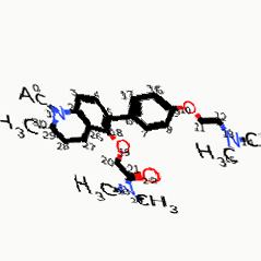 CC(=O)N1c2ccc(-c3ccc(OCCN(C)C)cc3)c(OCC(=O)N(C)C)c2CC[C@@H]1C